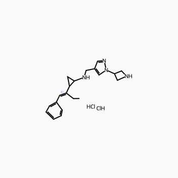 CC/C(=C\c1ccccc1)C1CC1NCc1cnn(C2CNC2)c1.Cl.Cl